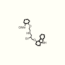 CCC(CNCCOc1ccccc1OC)COc1cccc2[nH]c3ccccc3c12